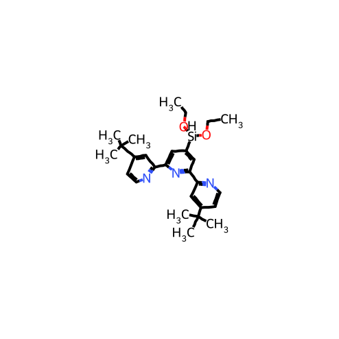 CCO[SiH](OCC)c1cc(-c2cc(C(C)(C)C)ccn2)nc(-c2cc(C(C)(C)C)ccn2)c1